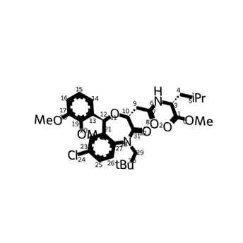 COC(=O)[C@@H](CC(C)C)NC(=O)C[C@H]1O[C@H](c2cccc(OC)c2OC)c2cc(Cl)ccc2N(CC(C)(C)C)C1=O